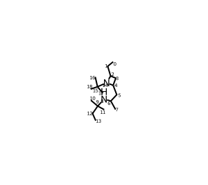 CCC1CC(CC(C)NC(C)(C)CC)N1C(C)(C)C